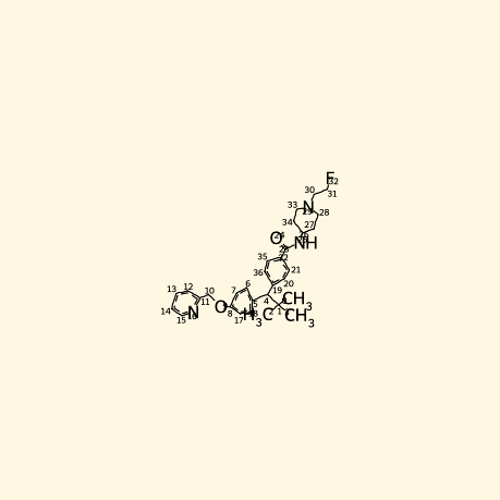 CC(C)(C)C(c1ccc(OCc2ccccn2)cc1)c1ccc(C(=O)NC2CCN(CCF)CC2)cc1